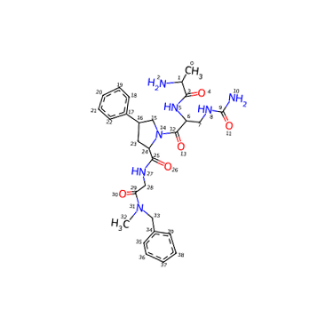 CC(N)C(=O)NC(CNC(N)=O)C(=O)N1CC(c2ccccc2)CC1C(=O)NCC(=O)N(C)Cc1ccccc1